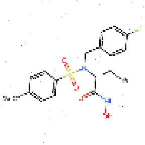 COc1ccc(S(=O)(=O)N(Cc2ccc(F)cc2)[C@H](CC(C)C)C(=O)NO)cc1